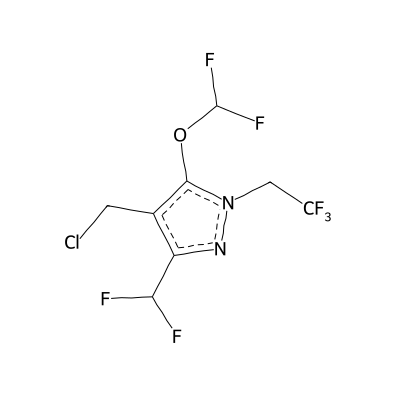 FC(F)Oc1c(CCl)c(C(F)F)nn1CC(F)(F)F